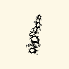 CN1c2ccc(-c3ccc4oc5c(ccc6c7ccccc7oc65)c4c3)cc2NC1c1ccccc1